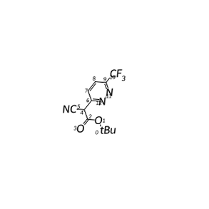 CC(C)(C)OC(=O)C(C#N)c1ccc(C(F)(F)F)nn1